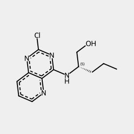 CCC[C@@H](CO)Nc1nc(Cl)nc2cccnc12